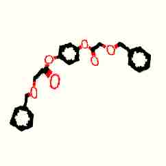 O=C(COCc1ccccc1)Oc1ccc(OC(=O)COCc2ccccc2)cc1